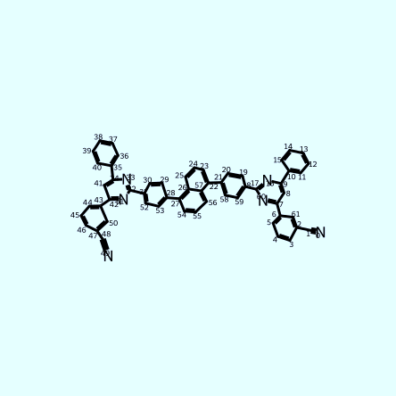 N#Cc1cccc(-c2cc(-c3ccccc3)nc(-c3ccc(-c4cccc5c(-c6ccc(-c7nc(-c8ccccc8)cc(-c8cccc(C#N)c8)n7)cc6)cccc45)cc3)n2)c1